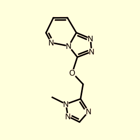 Cn1ncnc1COc1nnc2cccnn12